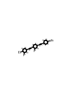 CCCc1ccc(C#Cc2ccc(C#Cc3ccc(CC)c(F)c3)c(F)c2)cc1